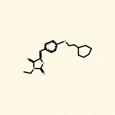 CCN1C(=O)S/C(=C\c2ccc(OCCC3CCCCC3)cc2)C1=O